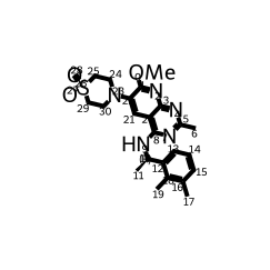 COc1nc2nc(C)nc(N[C@H](C)c3cccc(C)c3C)c2cc1N1CCS(=O)(=O)CC1